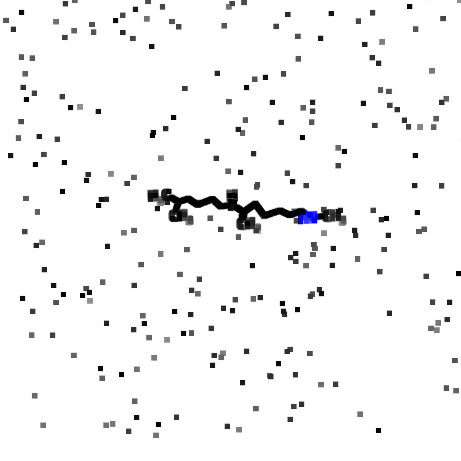 C=C(BCCCCC(C)C)CCCCCNC